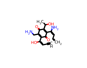 C#C/C=C(/O)C1=C(CN)C(=O)C(C(C)O)=C(/C(N)=C\C=C)C1=O